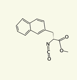 COC(=O)[C@@H](Cc1ccc2ccccc2c1)N=C=O